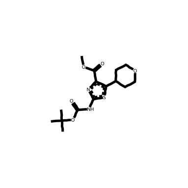 COC(=O)c1nc(NC(=O)OC(C)(C)C)sc1C1CCOCC1